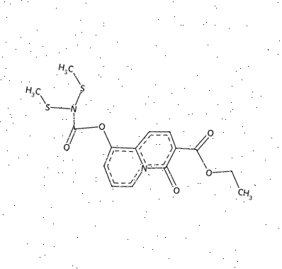 CCOC(=O)c1ccc2c(OC(=O)N(SC)SC)cccn2c1=O